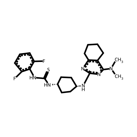 CN(C)c1nc(N[C@H]2CC[C@@H](NC(=S)Nc3c(F)cccc3F)CC2)nc2c1CCCC2